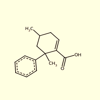 CC1CC=C(C(=O)O)C(C)(c2ccccc2)C1